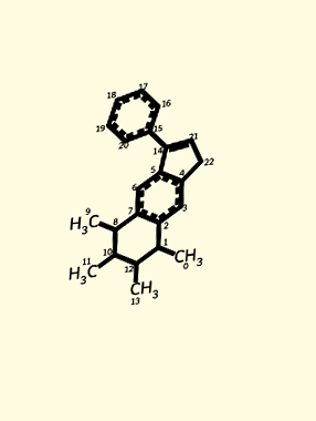 CC1c2cc3c(cc2C(C)C(C)C1C)C(c1ccccc1)=CC3